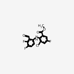 COC(=O)c1cc(F)cc(Cl)c1Nc1ccc(F)c(F)c1C=O